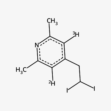 [2H]c1c(C)nc(C)c([3H])c1CC(I)I